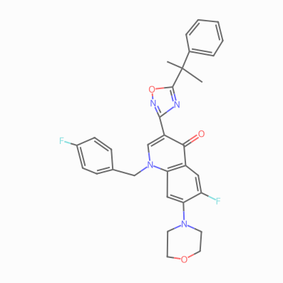 CC(C)(c1ccccc1)c1nc(-c2cn(Cc3ccc(F)cc3)c3cc(N4CCOCC4)c(F)cc3c2=O)no1